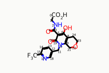 O=C(O)CNC(=O)c1c(O)c2c(n(Cc3ccc(C(F)(F)F)nc3)c1=O)COCC2